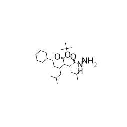 CC(C)CC(CCC1CCCCC1)C(C(=O)OC(C)(C)C)[C@@H](CC(C)C)C(=O)NN